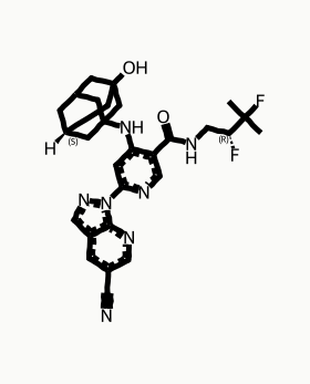 CC(C)(F)[C@H](F)CNC(=O)c1cnc(-n2ncc3cc(C#N)cnc32)cc1NC12CC3C[C@H](CC(O)(C3)C1)C2